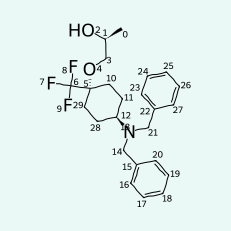 C[C@H](O)CO[C@]1(C(F)(F)F)CC[C@@H](N(Cc2ccccc2)Cc2ccccc2)CC1